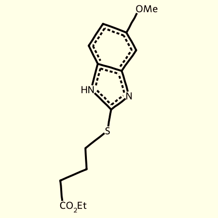 CCOC(=O)CCCSc1nc2cc(OC)ccc2[nH]1